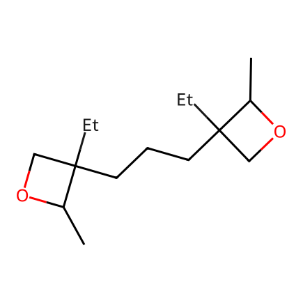 CCC1(CCCC2(CC)COC2C)COC1C